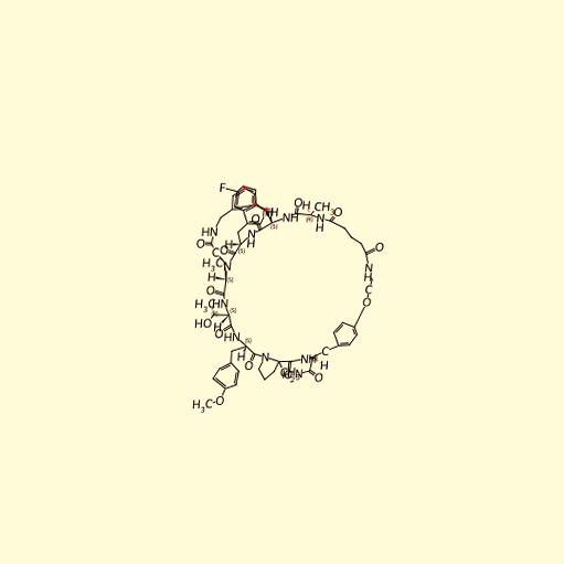 COc1ccc(C[C@@H]2NC(=O)[C@H]([C@@H](C)O)NC(=O)[C@@H]3CCC(=O)NCc4cccc(c4)C[C@H](NC(=O)[C@@H](C)NC(=O)CCCC(=O)NCCOc4ccc(cc4)C[C@@H](C(N)=O)NC(=O)C4(C)CCCN4C2=O)C(=O)N[C@@H](Cc2c[nH]c4ccc(F)cc24)C(=O)N3C)cc1